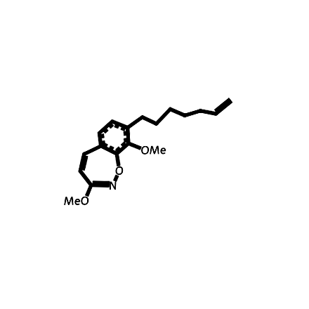 C=CCCCCCc1ccc2c(c1OC)ON=C(OC)C=C2